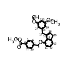 COC(=O)c1ccc(COc2cccc3c2C(Cc2cc(OC)cc(OC)c2)=CC3)cc1